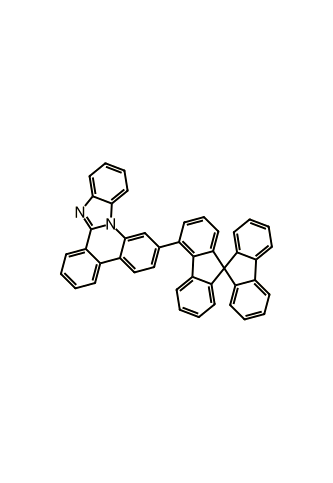 c1ccc2c(c1)-c1ccccc1C21c2ccccc2-c2c(-c3ccc4c5ccccc5c5nc6ccccc6n5c4c3)cccc21